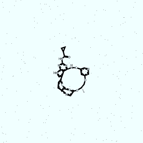 C[C@H]1COc2cncc(c2)CNc2nc(NC(=O)C3CC3)nc3[nH]cc(c23)-c2ccc3ncc(cc3c2)O1